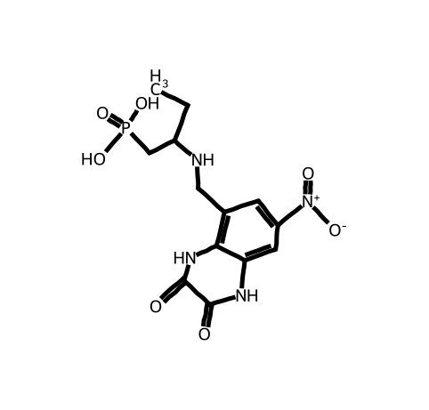 CCC(CP(=O)(O)O)NCc1cc([N+](=O)[O-])cc2[nH]c(=O)c(=O)[nH]c12